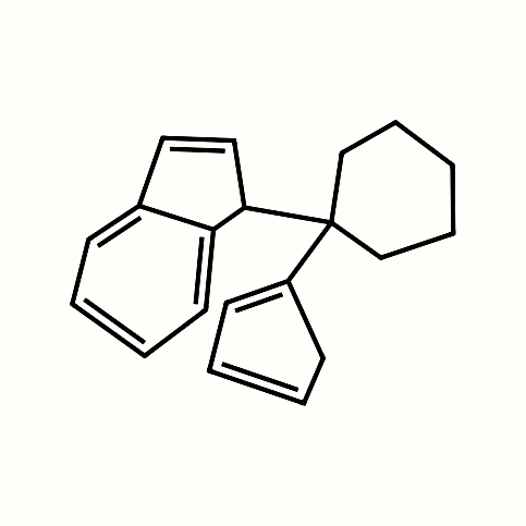 C1=CCC(C2(C3C=Cc4ccccc43)CCCCC2)=C1